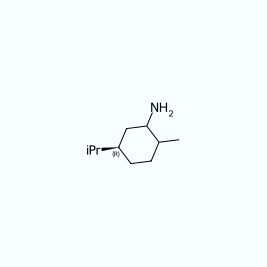 CC1CC[C@@H](C(C)C)CC1N